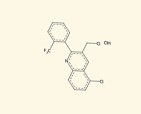 Cl.FC(F)(F)c1ccccc1-c1nc2cccc(Cl)c2cc1CCl